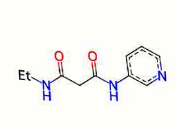 CCNC(=O)CC(=O)Nc1cccnc1